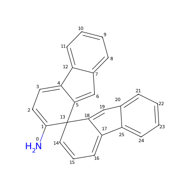 NC1=CC=C2C(=Cc3ccccc32)C12C=CC=C1C2=Cc2ccccc21